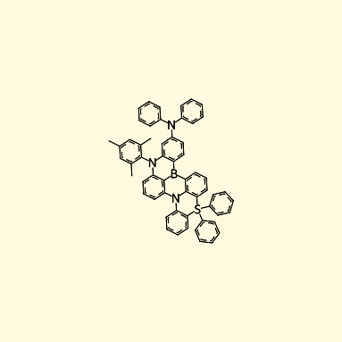 Cc1cc(C)c(N2c3cc(N(c4ccccc4)c4ccccc4)ccc3B3c4cccc5c4N(c4ccccc4S5(c4ccccc4)c4ccccc4)c4cccc2c43)c(C)c1